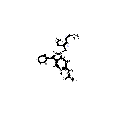 C/C=C\C=C(/CC)Cn1nc(-c2ccccc2)c2cnc(NC(N)=O)nc21